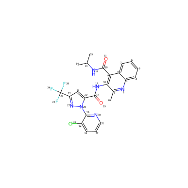 Cc1nc2ccccc2c(C(=O)NC(C)C)c1NC(=O)c1cc(C(F)(F)F)nn1-c1ncccc1Cl